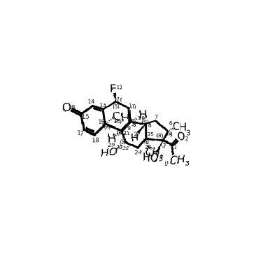 CC(=O)[C@@]1(O)[C@@H](C)C[C@H]2[C@@H]3C[C@H](F)C4=CC(=O)C=C[C@]4(C)[C@@H]3[C@@H](O)C[C@@]21C